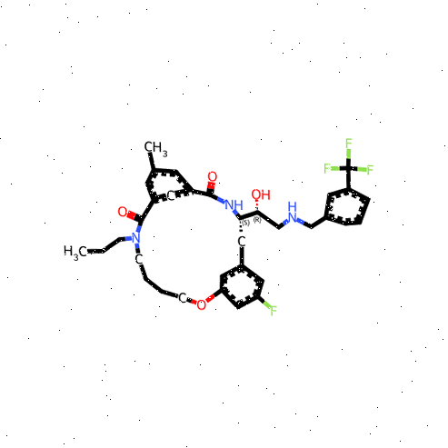 CCCN1CCCCOc2cc(F)cc(c2)C[C@@H]([C@H](O)CNCc2cccc(C(F)(F)F)c2)NC(=O)c2cc(C)cc(c2)C1=O